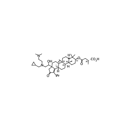 CC(C)C1=C2[C@H]3CC[C@@H]4[C@@]5(C)CC[C@H](OC(=O)C[C@@H](C)C(=O)O)C(C)(C)[C@@H]5CC[C@@]4(C)[C@]3(C)CCC2(C(O)CN(CCN(C)C)CC2CC2)CC1=O